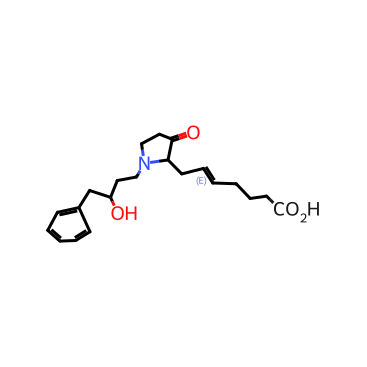 O=C(O)CCC/C=C/CC1C(=O)CCN1CCC(O)Cc1ccccc1